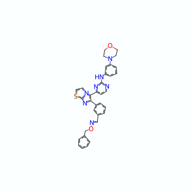 C(=NOCc1ccccc1)c1cccc(-c2nc3sccn3c2-c2ccnc(Nc3cccc(N4CCOCC4)c3)n2)c1